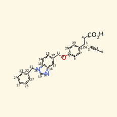 CC#C[C@@H](CC(=O)O)c1ccc(OCc2ccc3c(c2)ncn3Cc2ccccc2)cc1